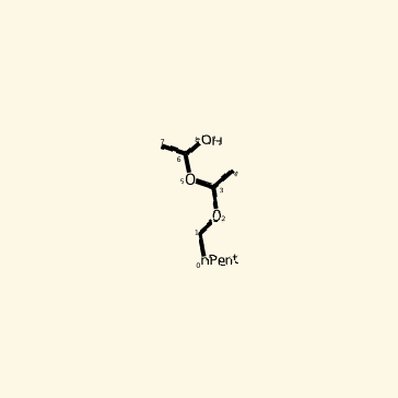 CCCCCCOC(C)OC(C)O